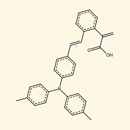 C=C(C(=O)O)c1ccccc1/C=C/c1ccc(N(c2ccc(C)cc2)c2ccc(C)cc2)cc1